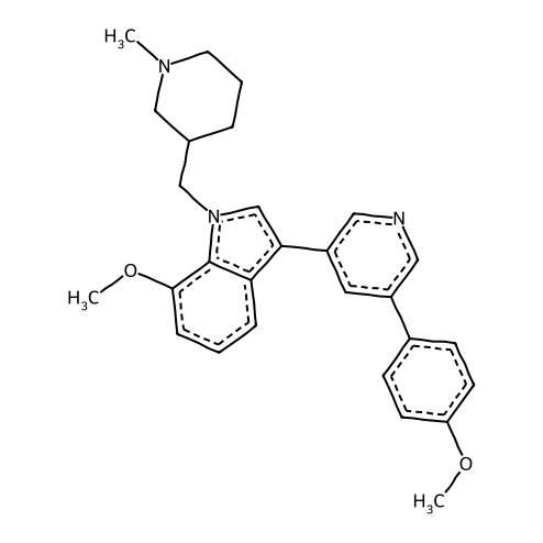 COc1ccc(-c2cncc(-c3cn(CC4CCCN(C)C4)c4c(OC)cccc34)c2)cc1